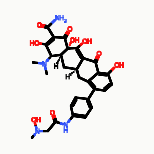 CN(O)CC(=O)Nc1ccc(-c2ccc(O)c3c2C[C@H]2C[C@H]4[C@@H](N(C)C)C(O)=C(C(N)=O)C(=O)[C@@]4(O)C(O)=C2C3=O)cc1